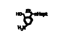 CCCCCCCC(CC)c1ccc(N)cc1CO